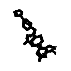 Cc1cc(N2CCc3c(c(C)nn3CC34CCC(N5CCCC5)(CC3)CC4)C2)c2cnn(C)c2n1